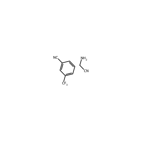 N#CCN.N#Cc1cccc(C(F)(F)F)c1